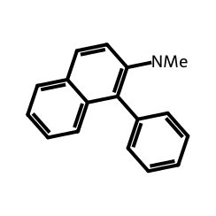 CNc1ccc2ccccc2c1-c1ccccc1